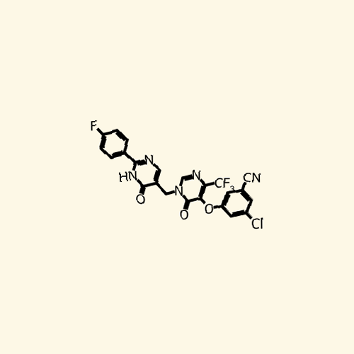 N#Cc1cc(Cl)cc(Oc2c(C(F)(F)F)ncn(Cc3cnc(-c4ccc(F)cc4)[nH]c3=O)c2=O)c1